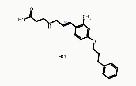 Cc1cc(OCCCc2ccccc2)ccc1/C=C/CNCCC(=O)O.Cl